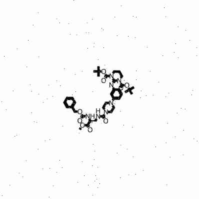 COC(=O)[C@H](CNC(=O)N1CCN(c2cccc(N=C3N(C(=O)OC(C)(C)C)CCCN3C(=O)OC(C)(C)C)c2)CC1)NC(=O)OCc1ccccc1